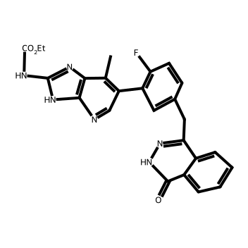 CCOC(=O)Nc1nc2c(C)c(-c3cc(Cc4n[nH]c(=O)c5ccccc45)ccc3F)cnc2[nH]1